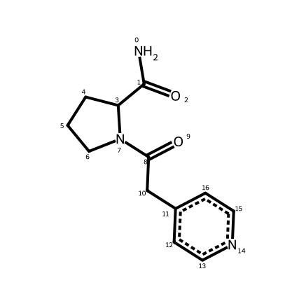 NC(=O)C1CCCN1C(=O)Cc1ccncc1